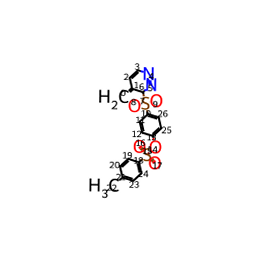 C=C1C=CN=NC1S(=O)(=O)c1ccc(OS(=O)(=O)c2ccc(C)cc2)cc1